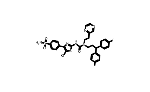 NS(=O)(=O)c1ccc(-c2nc(NC(=O)N(CCc3cnccn3)CCC(c3ccc(F)cc3)c3ccc(F)cc3)sc2Cl)cc1